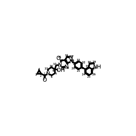 O=C(C1CC1)N1CCC(O)(Cn2cnc3c(cnn3-c3ccc(-c4cccc5[nH]ccc45)cc3)c2=O)CC1